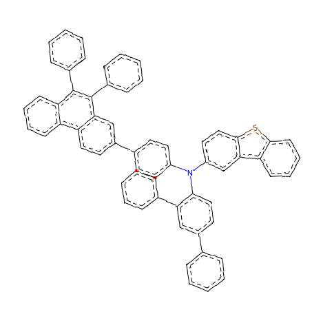 c1ccc(-c2ccc(N(c3ccc(-c4ccc5c(c4)c(-c4ccccc4)c(-c4ccccc4)c4ccccc45)cc3)c3ccc4sc5ccccc5c4c3)c(-c3ccccc3)c2)cc1